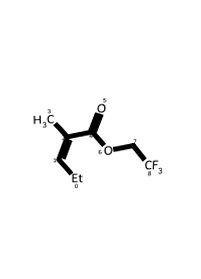 CCC=C(C)C(=O)OCC(F)(F)F